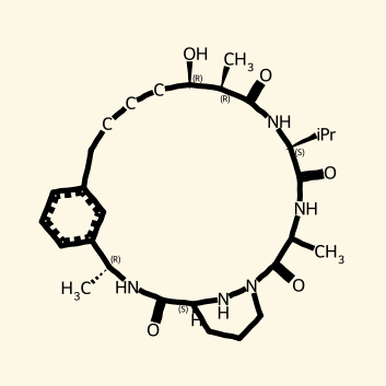 CC1NC(=O)[C@H](C(C)C)NC(=O)[C@H](C)[C@H](O)CCCCc2cccc(c2)[C@@H](C)NC(=O)[C@@H]2CCCN(N2)C1=O